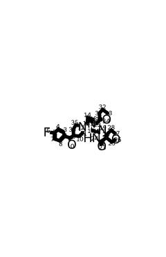 O=C(c1ccc(F)cc1)C1CCN(C2=CC[N@+]2(Cc2nc3c(c(=O)[nH]2)COCC3)CC2CCCO2)CC1